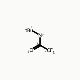 CC(C)(C)[N]C(=O)C(F)(F)F